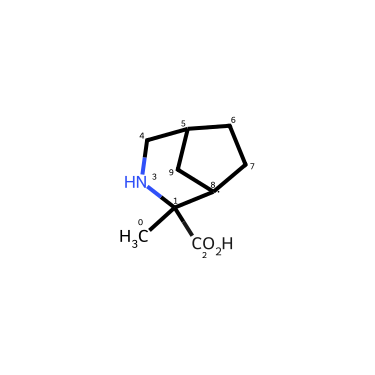 CC1(C(=O)O)NCC2CC[C]1C2